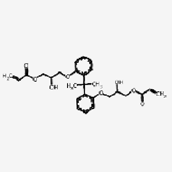 C=CC(=O)OCC(O)COc1ccccc1C(C)(C)c1ccccc1OCC(O)COC(=O)C=C